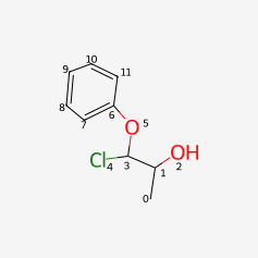 CC(O)C(Cl)Oc1ccccc1